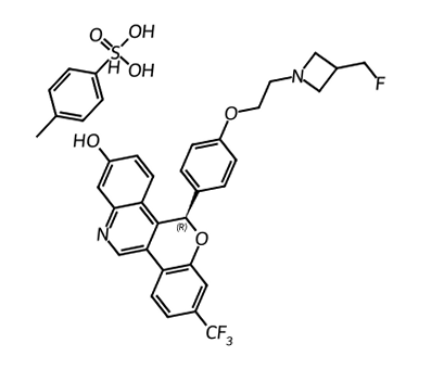 Cc1ccc([SH](=O)(O)O)cc1.Oc1ccc2c3c(cnc2c1)-c1ccc(C(F)(F)F)cc1O[C@@H]3c1ccc(OCCN2CC(CF)C2)cc1